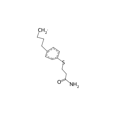 [CH2]CCCc1ccc(SCCC(N)=O)cc1